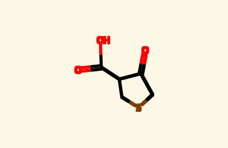 O=C(O)C1CSCC1=O